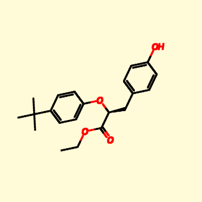 CCOC(=O)[C@H](Cc1ccc(O)cc1)Oc1ccc(C(C)(C)C)cc1